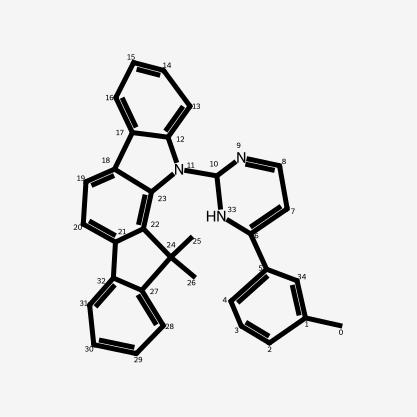 Cc1cccc(C2=CC=NC(n3c4ccccc4c4ccc5c(c43)C(C)(C)c3ccccc3-5)N2)c1